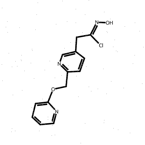 ON=C(Cl)Cc1ccc(COc2ccccn2)nc1